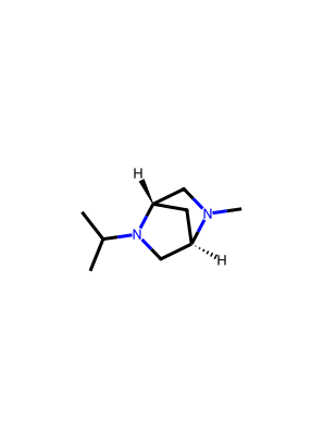 CC(C)N1C[C@H]2C[C@H]1CN2C